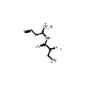 C=CCC(NC(=O)C(N)CC(C)C)C(=O)O